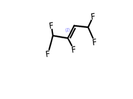 F/C(=C\C(F)F)C(F)F